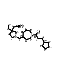 CCC1(CC#N)CCN(CC2CCCN(C(=O)CCC3CCCC3)CC2)C1